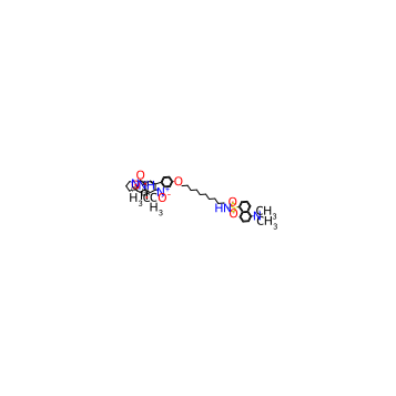 CN(C)c1cccc2c(S(=O)(=O)NCCCCCCCCCCOc3ccc4c(c3)[N+]([O-])=C3C4=C[C@@]45NC(=O)[C@]6(CCCN6C4=O)C[C@H]5C3(C)C)cccc12